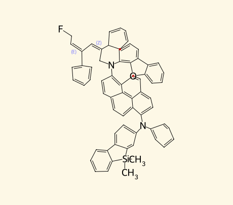 C[Si]1(C)c2ccccc2-c2ccc(N(c3ccccc3)c3ccc4ccc5c(N(C/C(=C\C(=C/CF)c6ccccc6)C6C=CC=CC6)c6cccc7c6oc6ccccc67)ccc6ccc3c4c65)cc21